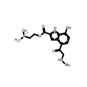 CN(C)CCOC(=O)c1cc2c(C(=O)CNC(C)(C)C)ccc(O)c2[nH]1